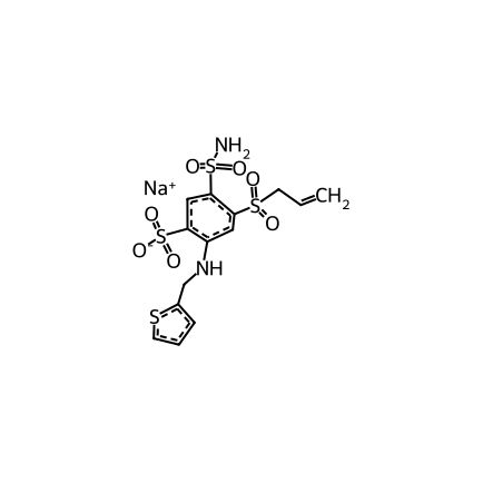 C=CCS(=O)(=O)c1cc(NCc2cccs2)c(S(=O)(=O)[O-])cc1S(N)(=O)=O.[Na+]